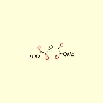 COC(=O)C(=O)C1CC1C(=O)C(=O)OC